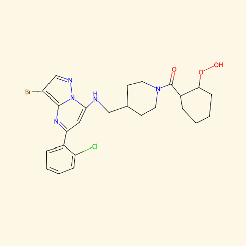 O=C(C1CCCCC1OO)N1CCC(CNc2cc(-c3ccccc3Cl)nc3c(Br)cnn23)CC1